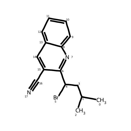 CC(C)CC(Br)c1nc2ccccc2cc1C#N